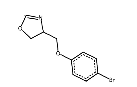 Brc1ccc(OCC2CO[C]=N2)cc1